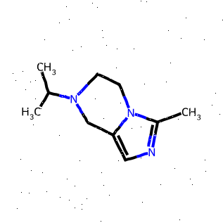 Cc1ncc2n1CCN(C(C)C)C2